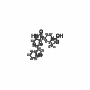 CC(C)(C)C1CC(n2c(=O)[nH]c3cnc(-c4cnn5ccccc45)nc32)CCN1C(=O)O